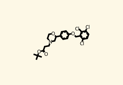 CC(C)(C)OC(=O)CCN1CCOC(c2ccc(OCc3c(Cl)ccc(Cl)c3Cl)cc2)C1